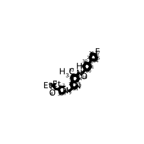 CCN(CC)C(=O)C1CCN(Cc2cnc3cc(NC(=O)c4ccc(-c5ccc(F)cc5)cc4)c(C)cc3c2)CC1